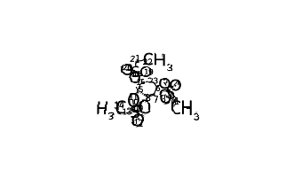 CCS(=O)(=O)OC1CC(OS(=O)(=O)CC)CC(OS(=O)(=O)CC)C1